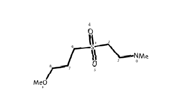 CNCCS(=O)(=O)CCCOC